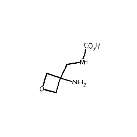 NC1(CNC(=O)O)COC1